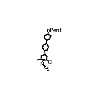 CCCCCc1ccc(-c2ccc(-c3cc(C)c(N=C=S)c(Cl)c3)cc2)cc1